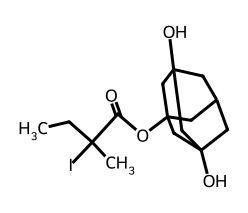 CCC(C)(I)C(=O)OC12CC3CC(O)(CC(O)(C3)C1)C2